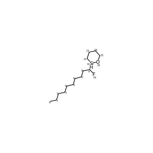 CCCCCCCCCC(F)[SiH]1CCCCO1